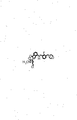 CNC(=O)C(CCC=O)N1Cc2c(NCc3cccc(CN4CCOCC4)c3F)cccc2C1=O